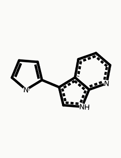 C1=C[N]C(c2c[nH]c3ncccc23)=C1